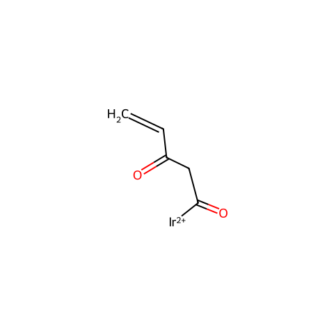 C=CC(=O)C[C](=O)[Ir+2]